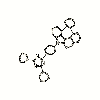 c1ccc(-c2nc(-c3ccccc3)nc(-c3ccc(-n4c5cccc6c5c5c7c(cccc7ccc54)-c4ccccc4-6)cc3)n2)cc1